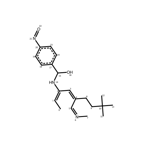 C\C=C(/C=C(\C=N/C)CCC(C)(C)C)NC(O)c1ccc(N=O)cc1